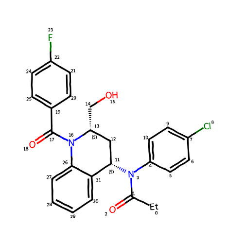 CCC(=O)N(c1ccc(Cl)cc1)[C@H]1C[C@@H](CO)N(C(=O)c2ccc(F)cc2)c2ccccc21